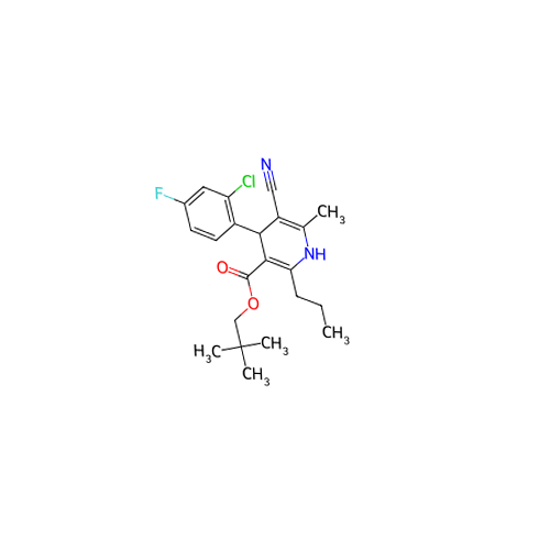 CCCC1=C(C(=O)OCC(C)(C)C)C(c2ccc(F)cc2Cl)C(C#N)=C(C)N1